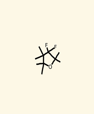 CC1(C)OC(C)(C)C(F)(F)C1(C)C